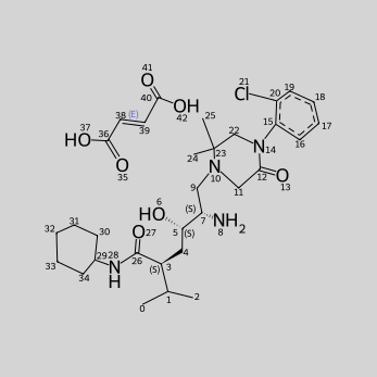 CC(C)[C@H](C[C@H](O)[C@@H](N)CN1CC(=O)N(c2ccccc2Cl)CC1(C)C)C(=O)NC1CCCCC1.O=C(O)/C=C/C(=O)O